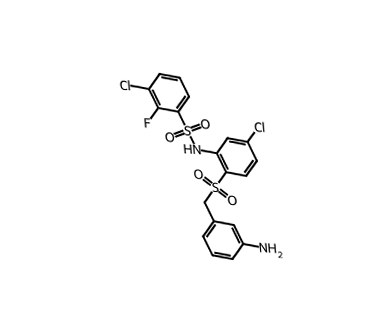 Nc1cccc(CS(=O)(=O)c2ccc(Cl)cc2NS(=O)(=O)c2cccc(Cl)c2F)c1